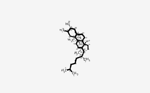 CC(C)CCC[C@@H](C)[C@H]1CC[C@H]2[C@@H]3CC=C4C[C@@H](O)C(N)C[C@]4(C)[C@H]3CC[C@]12C